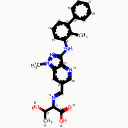 Cc1c(Nc2nn(C)c3cc(C=NC(C(=O)O)C(C)O)cnc23)cccc1-c1ccccc1